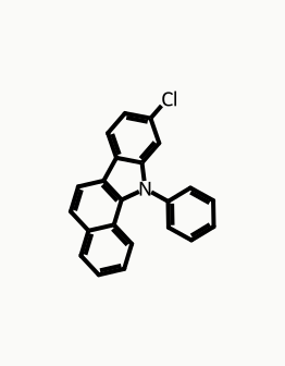 Clc1ccc2c3ccc4ccccc4c3n(-c3ccccc3)c2c1